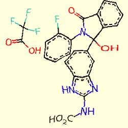 O=C(O)C(F)(F)F.O=C(O)Nc1nc2cc(C3(O)c4ccccc4C(=O)N3c3ccccc3F)ccc2[nH]1